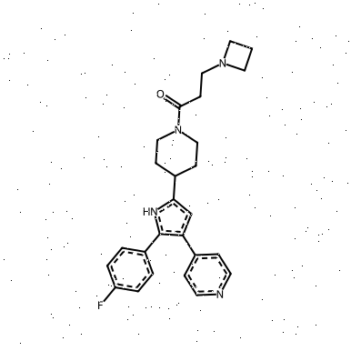 O=C(CCN1CCC1)N1CCC(c2cc(-c3ccncc3)c(-c3ccc(F)cc3)[nH]2)CC1